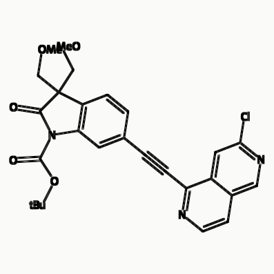 COCC1(COC)C(=O)N(C(=O)OC(C)(C)C)c2cc(C#Cc3nccc4cnc(Cl)cc34)ccc21